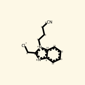 N#CCCCn1c(CCl)nc2ccccc21